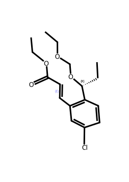 CCOCO[C@H](CC)c1ccc(Cl)cc1/C=C/C(=O)OCC